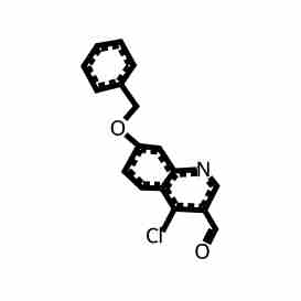 O=Cc1cnc2cc(OCc3ccccc3)ccc2c1Cl